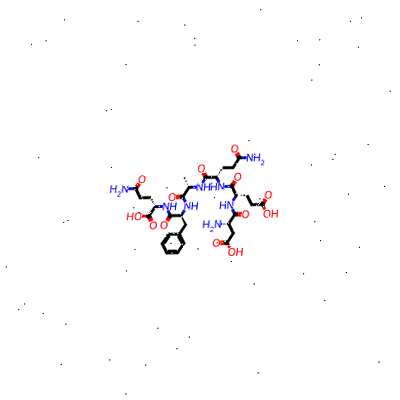 C[C@H](NC(=O)[C@H](CCC(N)=O)NC(=O)[C@H](CCC(=O)O)NC(=O)[C@@H](N)CC(=O)O)C(=O)N[C@@H](Cc1ccccc1)C(=O)N[C@@H](CCC(N)=O)C(=O)O